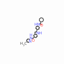 Cc1ccc(NC(=O)c2ccc3[nH]c(-c4ccc(NC(=O)C5CCCCCC5)cc4)cc3c2)nc1